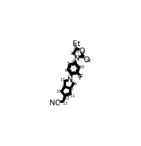 CC[C@H]1CN(c2ccc(N3CC4C=C(CC#N)CC4C3)c(F)c2)C(=O)O1